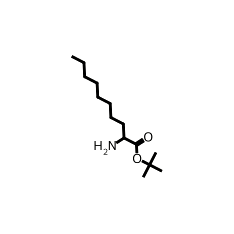 CCCCCCCCC(N)C(=O)OC(C)(C)C